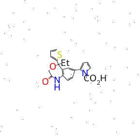 CCC1(c2cccs2)OCC(=O)Nc2ccc(-c3cccn3C(=O)O)cc21